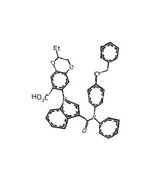 CCC1COc2cc(-n3cc(C(=O)N(c4ccccc4)c4ccc(OCc5ccccc5)cc4)c4ccccc43)c(C(=O)O)cc2O1